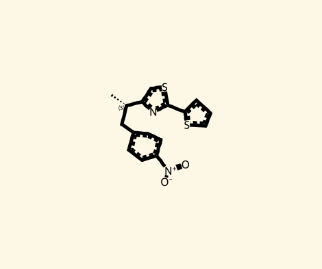 C[C@@H](Cc1ccc([N+](=O)[O-])cc1)c1csc(-c2cccs2)n1